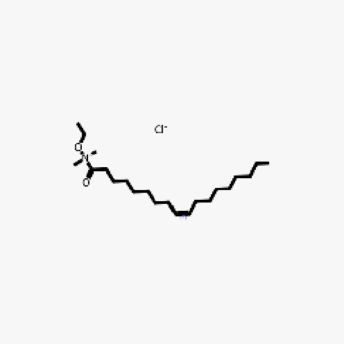 CCCCCCCC/C=C\CCCCCCCC(=O)[N+](C)(C)OCC.[Cl-]